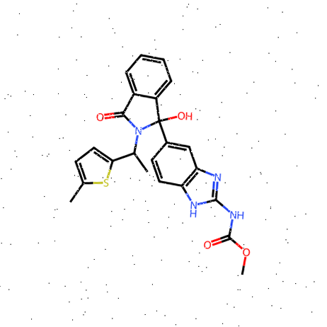 COC(=O)Nc1nc2cc(C3(O)c4ccccc4C(=O)N3C(C)c3ccc(C)s3)ccc2[nH]1